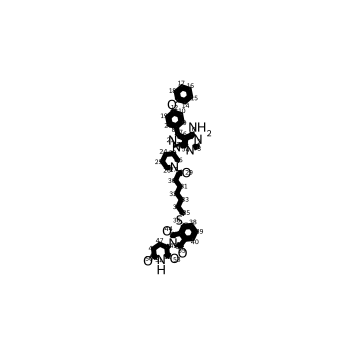 Nc1ncnc2c1c(-c1ccc(Oc3ccccc3)cc1)nn2C1CCCN(C(=O)CCCCCCSc2cccc3c2C(=O)N(C2CCC(=O)NC2=O)C3=O)C1